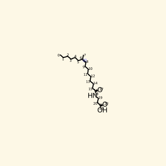 CCCCCC/C(C)=C\CCCCCCCC(=O)NCCC(=O)O